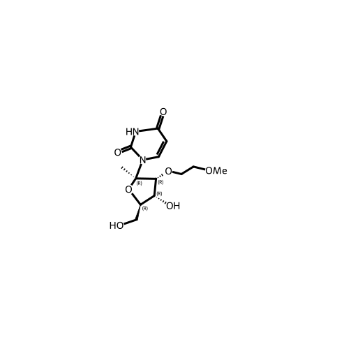 COCCO[C@@H]1[C@H](O)[C@@H](CO)O[C@@]1(C)n1ccc(=O)[nH]c1=O